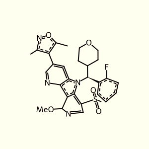 COC1N=CC(S(C)(=O)=O)=c2c1c1c(n2[C@H](c2ccccc2F)C2CCOCC2)=C=C(c2c(C)noc2C)C=N1